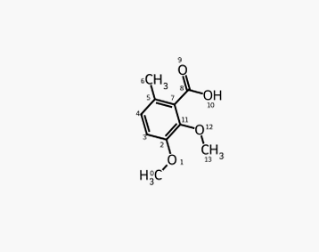 COc1ccc(C)c(C(=O)O)c1OC